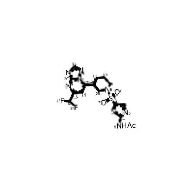 CC(=O)Nc1ncc(S(=O)(=O)N2CCCC(c3cc(C(F)F)nc4ncnn34)C2)s1